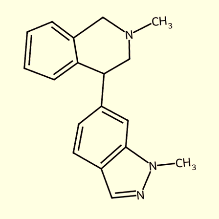 CN1Cc2ccccc2C(c2ccc3cnn(C)c3c2)C1